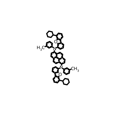 Cc1cccc(N(c2ccc3ccc4c(N(c5cccc(C)c5)c5cccc6c5oc5c(C7CCCCC7)cccc56)ccc5ccc2c3c54)c2cccc3c2oc2c(C4CCCCC4)cccc23)c1